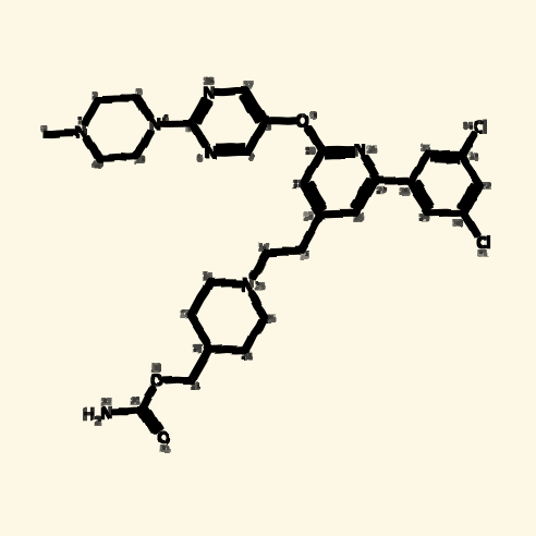 CN1CCN(c2ncc(Oc3cc(CCN4CCC(COC(N)=O)CC4)cc(-c4cc(Cl)cc(Cl)c4)n3)cn2)CC1